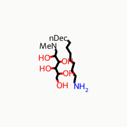 CCCCCCCCCCCCCCCCCCN.CNCC(O)C(O)C(O)C(O)CO